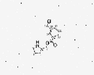 O=C(OCC1CCCN1)c1cccc(CCl)c1